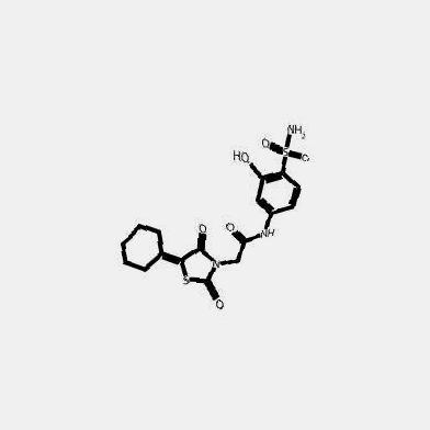 NS(=O)(=O)c1ccc(NC(=O)CN2C(=O)SC(=C3CCCCC3)C2=O)cc1O